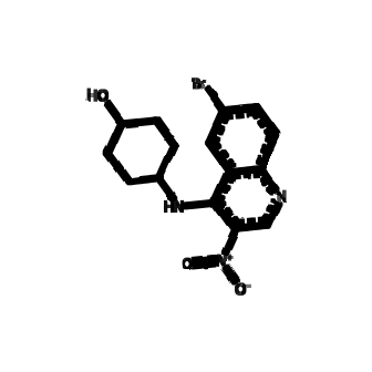 O=[N+]([O-])c1cnc2ccc(Br)cc2c1NC1CCC(O)CC1